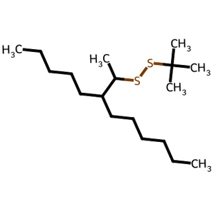 CCCCCCC(CCCCC)C(C)SSC(C)(C)C